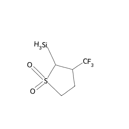 O=S1(=O)CCC(C(F)(F)F)C1[SiH3]